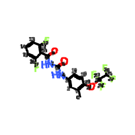 Cc1cc(NC(=O)NC(=O)c2c(F)cccc2F)ccc1OC(F)(F)C(F)F